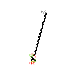 CCCCCCCCCCCCCCCCCCCCCCCCC(=O)OC(CS(=O)(=O)O)(C(F)(F)F)C(F)(F)F